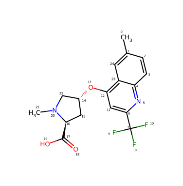 Cc1ccc2nc(C(F)(F)F)cc(O[C@@H]3C[C@@H](C(=O)O)N(C)C3)c2c1